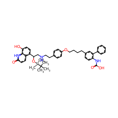 CC(C)(C)[Si](C)(C)OC(CNCCc1ccc(OCCCCc2ccc(NC(=O)O)c(-c3ccccc3)c2)cc1)c1ccc(O)c2[nH]c(=O)ccc12